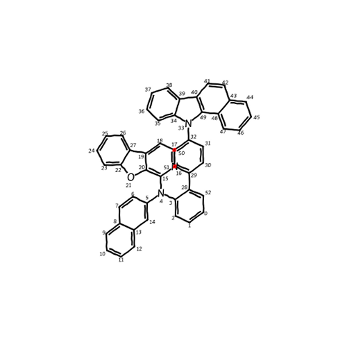 c1ccc(N(c2ccc3ccccc3c2)c2nccc3c2oc2ccccc23)c(-c2ccc(-n3c4ccccc4c4ccc5ccccc5c43)cc2)c1